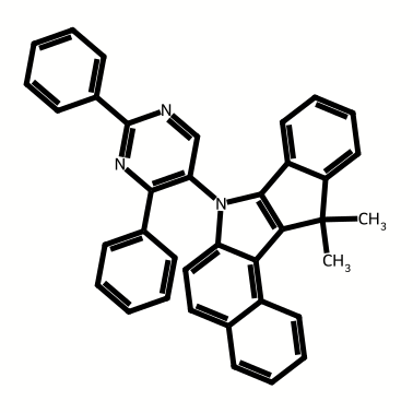 CC1(C)c2ccccc2-c2c1c1c3ccccc3ccc1n2-c1cnc(-c2ccccc2)nc1-c1ccccc1